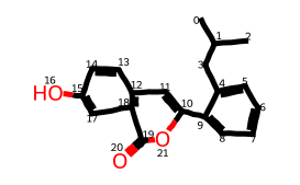 CC(C)Cc1ccccc1-c1cc2ccc(O)cc2c(=O)o1